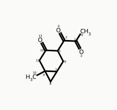 CC(=O)C(=O)C1CC2CC2(C)CC1=O